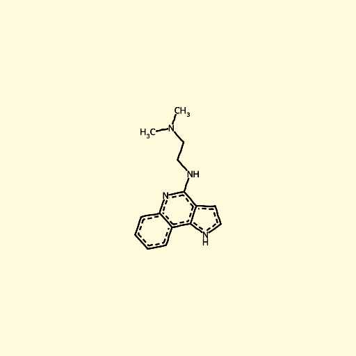 CN(C)CCNc1nc2ccccc2c2[nH]ccc12